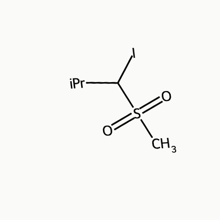 CC(C)C(I)S(C)(=O)=O